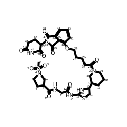 CS(=O)(=O)N1CCC(C(=O)NCC(=O)NC2NC(C3CCCN(C(=O)CCCCOc4cccc5c4C(=O)N(C4CCC(=O)NC4=O)C5=O)C3)CS2)C1